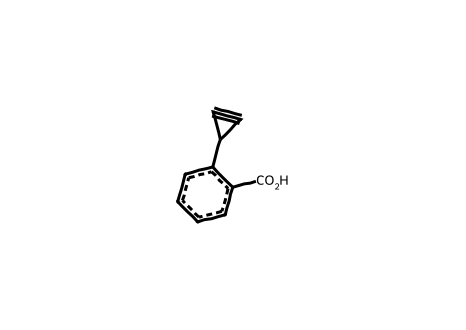 O=C(O)c1ccccc1C1C#C1